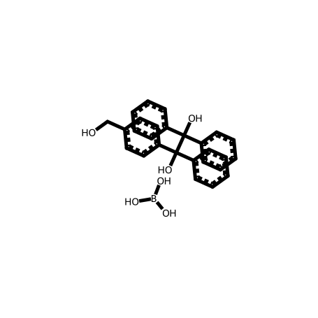 OB(O)O.OCc1ccc(C(O)(c2ccccc2)C(O)(c2ccccc2)c2ccccc2)cc1